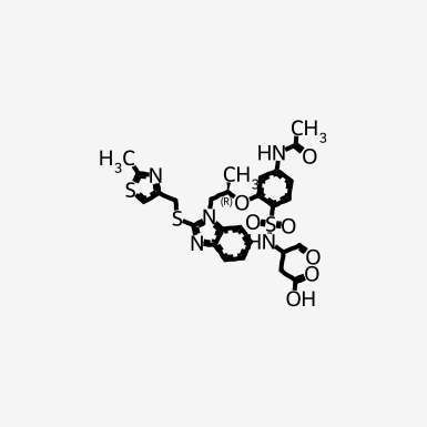 CC(=O)Nc1ccc(S(=O)(=O)NC(C=O)CC(=O)O)c(O[C@H](C)Cn2c(SCc3csc(C)n3)nc3ccccc32)c1